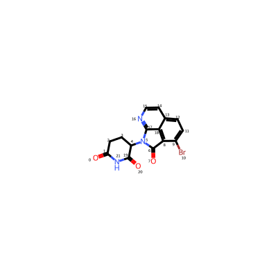 O=C1CCC(N2C(=O)c3c(Br)ccc4ccnc2c34)C(=O)N1